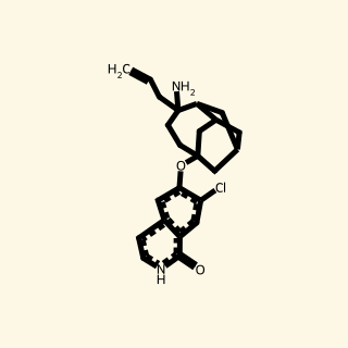 C=CCC1(N)CCC2(Oc3cc4cc[nH]c(=O)c4cc3Cl)CC3CC(C2)C1C3